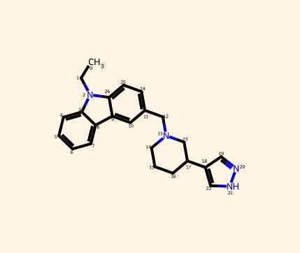 CCn1c2ccccc2c2cc(CN3CCCC(c4cn[nH]c4)C3)ccc21